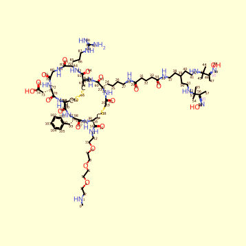 CNCCOCCOCCOCCNC(=O)[C@@H]1CSCC(=O)N[C@@H](CCCCNC(=O)CCCC(=O)NCCC(CCNC(C)(C)/C(C)=N\O)CCNC(C)(C)/C(C)=N\O)C(=O)N[C@H]2CSSC[C@H](NC(=O)[C@H](CC(=O)O)NC(=O)CNC(=O)[C@H](CCCNC(=N)N)NC2=O)C(=O)N[C@@H](Cc2ccccc2)C(=O)N1